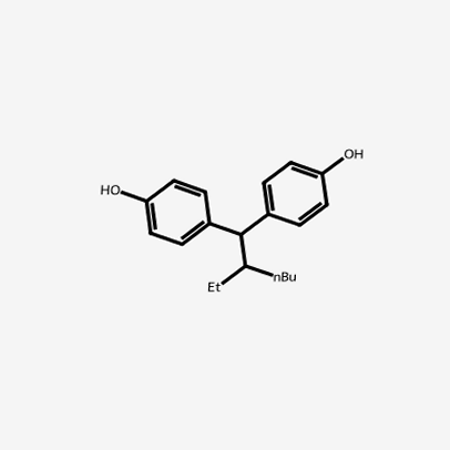 CCCCC(CC)C(c1ccc(O)cc1)c1ccc(O)cc1